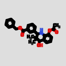 CC(=O)Oc1cccc2c1NC(c1cccc(C(=O)OCc3ccccc3)c1)C(C)(C)C2O